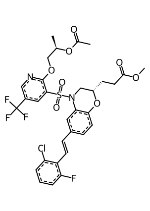 COC(=O)CC[C@H]1CN(S(=O)(=O)c2cc(C(F)(F)F)cnc2OC[C@@H](C)OC(C)=O)c2cc(C=Cc3c(F)cccc3Cl)ccc2O1